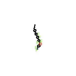 CCCCCc1ccc(-c2ccc(-c3ccc(-c4cc(F)c(C(F)(F)Oc5ccc(/C(F)=C/F)cc5)c(F)c4)c(F)c3)c(F)c2)cc1